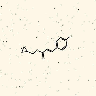 O=C(C=Cc1ccc(Cl)cc1)OCC1CC1